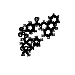 CN(Cc1c2ccccc2cc2ccccc12)C(=O)c1ccc(S(=O)(=O)OCC2(Cn3ccnc3[N+](=O)[O-])COC(C)(C)OC2)cc1